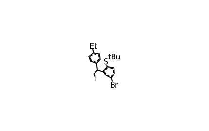 CCc1ccc(C(CI)c2cc(Br)ccc2SC(C)(C)C)cc1